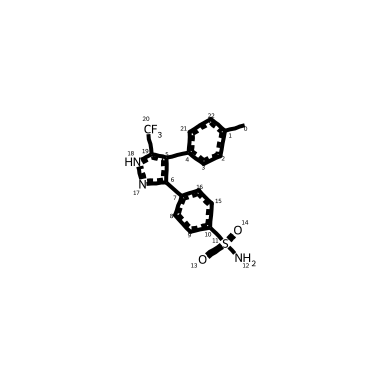 Cc1ccc(-c2c(-c3ccc(S(N)(=O)=O)cc3)n[nH]c2C(F)(F)F)cc1